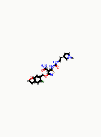 CN1CC[C@H](CCNC(=O)Nc2snc(OCc3cc4c(cc3F)CCO4)c2C(N)=O)C1